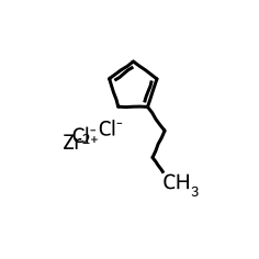 CCCC1=CC=CC1.[Cl-].[Cl-].[Zr+2]